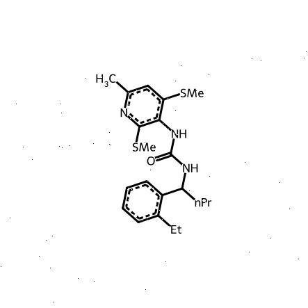 CCCC(NC(=O)Nc1c(SC)cc(C)nc1SC)c1ccccc1CC